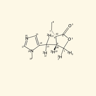 [2H]C1([2H])OC(=O)[C@@H](CC)[C@@]1([2H])C([2H])([2H])c1cncn1C